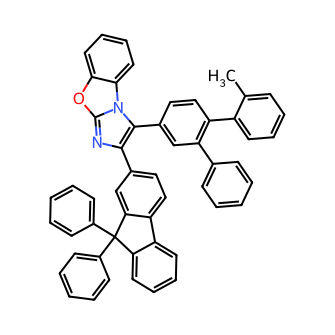 Cc1ccccc1-c1ccc(-c2c(-c3ccc4c(c3)C(c3ccccc3)(c3ccccc3)c3ccccc3-4)nc3oc4ccccc4n23)cc1-c1ccccc1